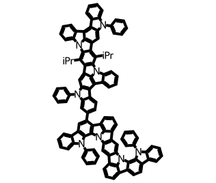 CC(C)c1c2c3cc4c(c5ccc(-c6cc7c8ccccc8n(-c8ccccc8)c7c7c6c6cccc8c9cc%10c(cc9n7c86)c6cccc7c8ccc9c%11ccccc%11n(-c%11ccccc%11)c9c8n%10c67)cc5n4-c4ccccc4)c4c5ccccc5n(c2c(C(C)C)c2c5cc6c(c7ccccc7n6-c6ccccc6)c6c7ccccc7n(c12)c56)c34